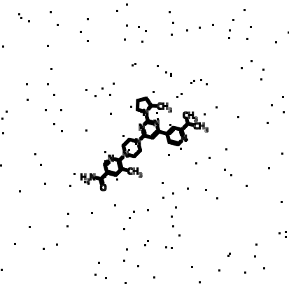 Cc1cc(C(N)=O)cnc1N1CCN(c2cc(-c3ccnc(C(C)C)c3)nc(N3CCCC3C)n2)CC1